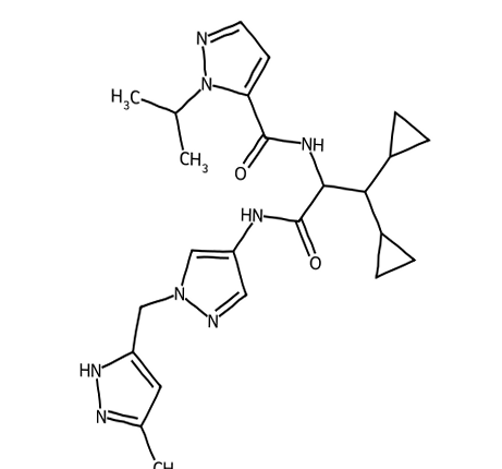 Cc1cc(Cn2cc(NC(=O)C(NC(=O)c3ccnn3C(C)C)C(C3CC3)C3CC3)cn2)[nH]n1